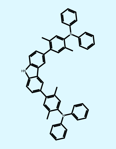 Cc1cc(N(c2ccccc2)c2ccccc2)c(C)cc1-c1ccc2[nH]c3ccc(-c4cc(C)c(N(c5ccccc5)c5ccccc5)cc4C)cc3c2c1